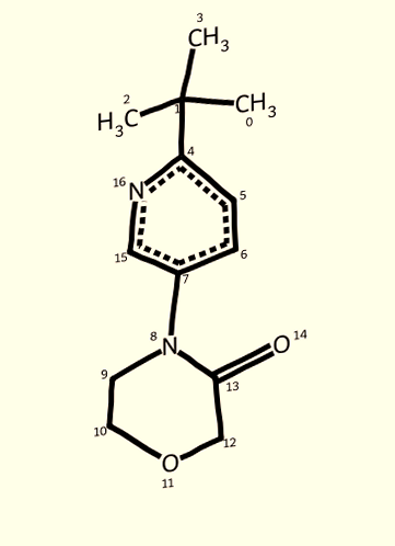 CC(C)(C)c1ccc(N2CCOCC2=O)cn1